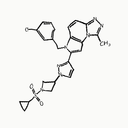 Cc1nnc2ccc3c(cc(-c4ccn(C5CN(S(=O)(=O)C6CC6)C5)n4)n3Cc3cccc(Cl)c3)n12